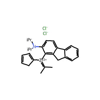 C[C](C)=[Zr+2]([C]1=CC=CC1)[c]1c(N(C(C)C)C(C)C)ccc2c1Cc1ccccc1-2.[Cl-].[Cl-]